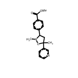 COC(=O)c1ccc(C2CC(C)(c3cccnc3)ON2C)cc1